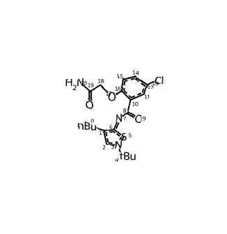 CCCCc1cn(C(C)(C)C)s/c1=N\C(=O)c1cc(Cl)ccc1OCC(N)=O